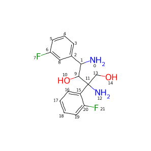 NC(c1cccc(F)c1)C(O)C(N)(CO)c1ccccc1F